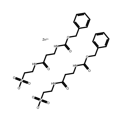 O=C(CCNC(=O)OCc1ccccc1)NCCS(=O)(=O)[O-].O=C(CCNC(=O)OCc1ccccc1)NCCS(=O)(=O)[O-].[Zn+2]